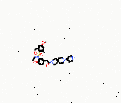 COc1cc(C)c(S(=O)(=O)N2CCOc3ccc(CC(=O)N4CCC5(CC4)CCN(c4ccncc4)CC5)cc32)c(C)c1